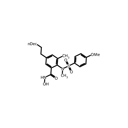 CCCCCCCCCCCCc1cc(C)c(N(C)S(=O)(=O)c2ccc(OC)cc2)c(C(=O)NO)c1